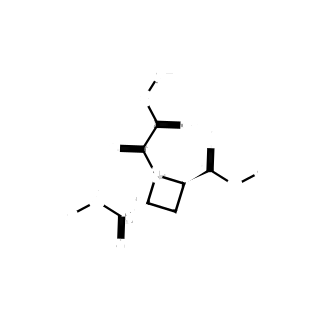 COC(=O)C(=O)N1[C@@H](C(=O)OC)C[C@@H]1C(=O)OC